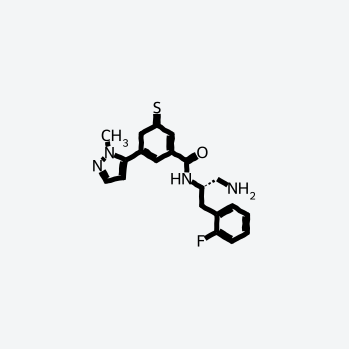 Cn1nccc1C1=CC(C(=O)N[C@H](CN)Cc2ccccc2F)=CC(=S)C1